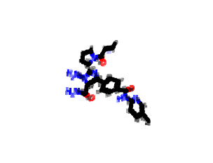 C/C=C/C(=O)N1CCC[C@H]1c1nc(-c2ccc(C(=O)Nc3ccc(C)cn3)cc2)c(C(N)=O)n1N